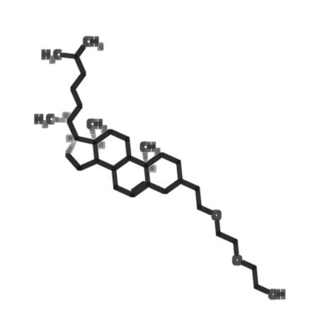 CC(C)CCC[C@@H](C)[C@H]1CCC2C3CC=C4CC(CCOCCOCCO)CC[C@]4(C)C3CC[C@@]21C